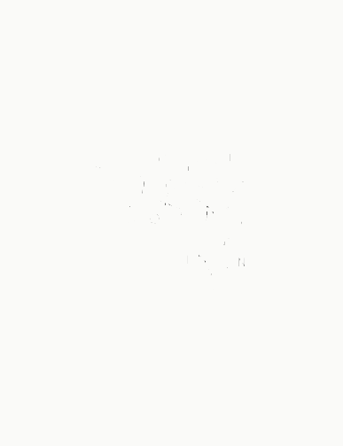 N#CC1(NC(=O)[C@@H]2C[C@@H](S(=O)(=O)c3ccc(F)cc3Cl)CN2C(=O)C2(c3ccc(Cl)cc3F)CC2)CC1